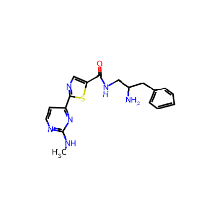 CNc1nccc(-c2ncc(C(=O)NCC(N)Cc3ccccc3)s2)n1